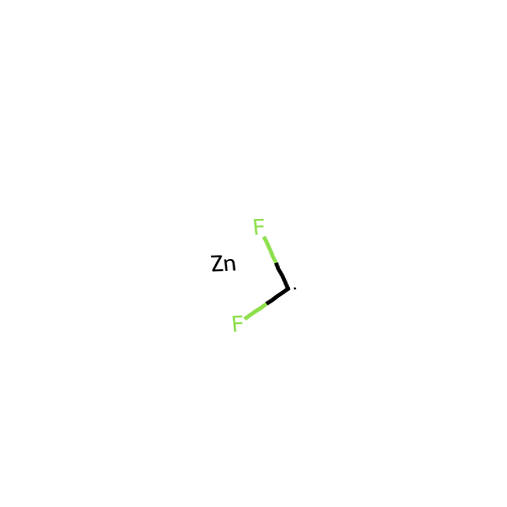 F[CH]F.[Zn]